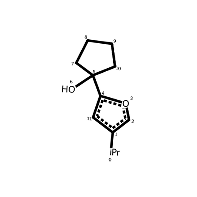 CC(C)c1coc(C2(O)CCCC2)c1